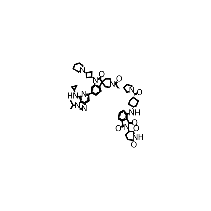 CC(C)n1cnc2cc(-c3ccc4c(c3)N([C@H]3C[C@@H](N5CCCCC5)C3)C(=O)C43CCN(C(=O)C[C@@H]4CCN(C(=O)[C@H]5CC[C@H](Nc6cccc7c6C(=O)N(C6CCC(=O)NC6=O)C7=O)CC5)C4)CC3)nc(NC3CC3)c21